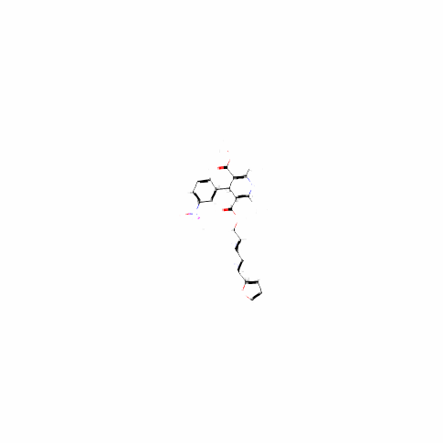 COC(=O)C1=C(C)NC(C)=C(C(=O)OC/C=C/C=C/c2ccco2)C1c1cccc([N+](=O)[O-])c1